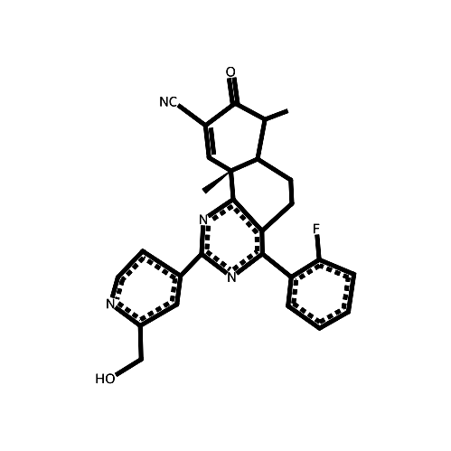 CC1C(=O)C(C#N)=C[C@@]2(C)c3nc(-c4ccnc(CO)c4)nc(-c4ccccc4F)c3CCC12